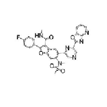 CNC(=O)c1c(-c2ccc(F)cc2)oc2cc(N(C)S(C)(=O)=O)c(-c3cncc(-c4nc5ncccc5o4)n3)cc12